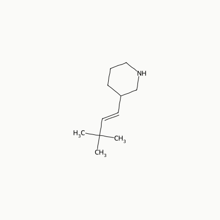 CC(C)(C)/C=C/C1CCCNC1